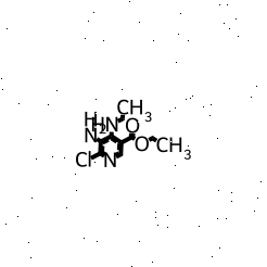 CCNc1c(C(=O)OCC)cnc(Cl)c1N